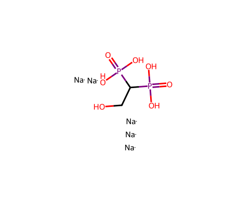 O=P(O)(O)C(CO)P(=O)(O)O.[Na].[Na].[Na].[Na].[Na]